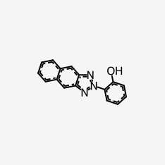 Oc1ccccc1-n1nc2cc3ccccc3cc2n1